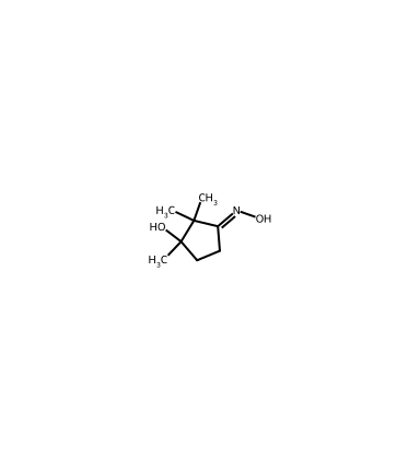 CC1(O)CC/C(=N\O)C1(C)C